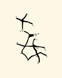 CC(C)(C)OC(=O)C1(C)CCC(C)(C)C1(C)C